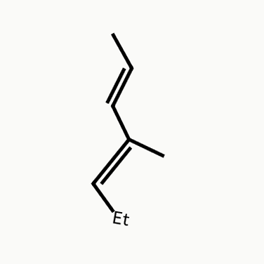 C/C=C/C(C)=C/CC